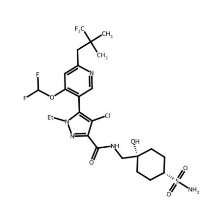 CCn1nc(C(=O)NC[C@]2(O)CC[C@@H](S(N)(=O)=O)CC2)c(Cl)c1-c1cnc(CC(C)(C)C(F)(F)F)cc1OC(F)F